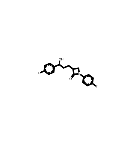 O=C1C(CC[C@H](O)c2ccc(F)cc2)CN1c1ccc(F)cc1